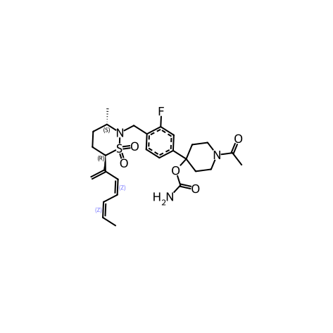 C=C(/C=C\C=C/C)[C@H]1CC[C@H](C)N(Cc2ccc(C3(OC(N)=O)CCN(C(C)=O)CC3)cc2F)S1(=O)=O